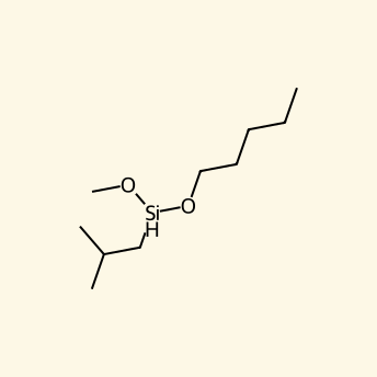 CCCCCO[SiH](CC(C)C)OC